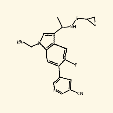 CC(NSC1CC1)c1cn(CC(C)(C)C)c2cc(-c3cncc(C#N)c3)c(F)cc12